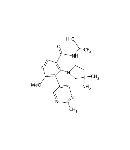 COc1ncc(C(=O)NC(C)C(F)(F)F)c(N2CC[C@](C)(N)C2)c1-c1cnc(C)nc1